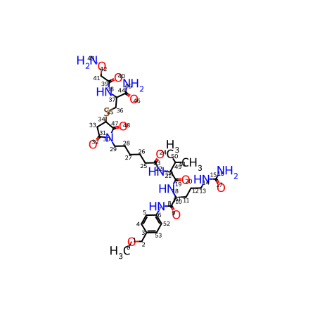 COCc1ccc(NC(=O)[C@H](CCCNC(N)=O)NC(=O)[C@@H](NC(=O)CCCCCN2C(=O)CC(SCC(NC(=O)CON)C(N)=O)C2=O)C(C)C)cc1